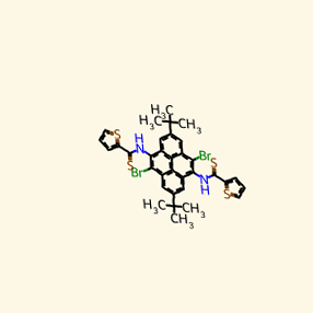 CC(C)(C)c1cc2c(Br)c(NC(=S)c3cccs3)c3cc(C(C)(C)C)cc4c(Br)c(NC(=S)c5cccs5)c(c1)c2c43